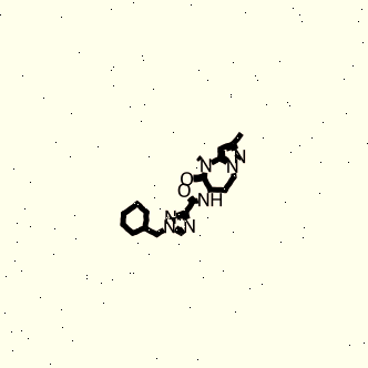 Cc1cc2n(n1)CC[C@H](NC(=O)c1ncn(CC3CCCCC3)n1)C(=O)N2C